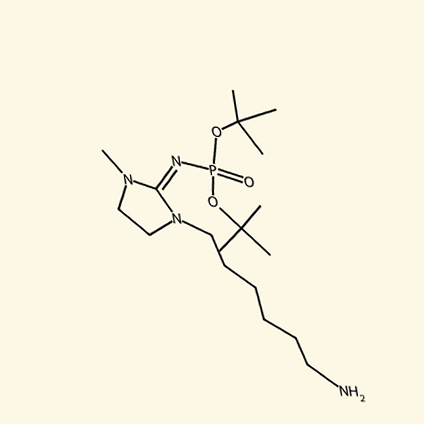 CN1CCN(CCCCCCN)C1=NP(=O)(OC(C)(C)C)OC(C)(C)C